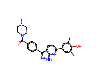 Cc1cc(-c2ccc3c(-c4ccc(C(=O)N5CCN(C)CC5)cc4)n[nH]c3n2)cc(C)c1O